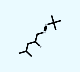 CC(C)CC(Cl)CN=NC(C)(C)C